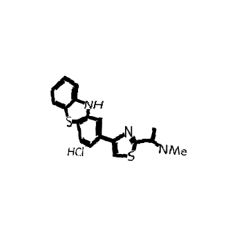 CNC(C)c1nc(-c2ccc3c(c2)Nc2ccccc2S3)cs1.Cl